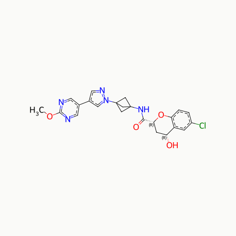 COc1ncc(-c2cnn(C34CC(NC(=O)[C@H]5C[C@@H](O)c6cc(Cl)ccc6O5)(C3)C4)c2)cn1